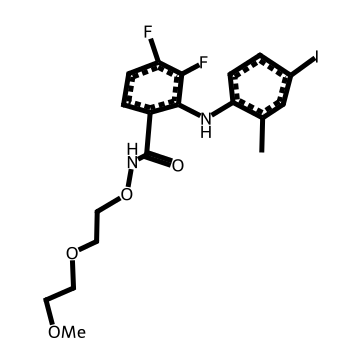 COCCOCCONC(=O)c1ccc(F)c(F)c1Nc1ccc(I)cc1C